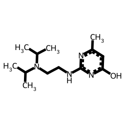 Cc1cc(O)nc(NCCN(C(C)C)C(C)C)n1